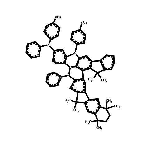 CCCCc1ccc(N(c2ccccc2)c2ccc3c(c2)N(c2ccc(CCCC)cc2)c2cc4c(c5c2B3N(c2ccccc2)c2cc3c(cc2-5)-c2cc5c(cc2C3(C)C)C(C)(C)CCC5(C)C)C(C)(C)c2ccccc2-4)cc1